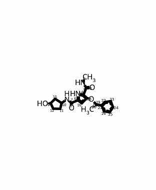 CNC(=O)c1[nH]c(C(=O)NC2CC[C@@H](O)C2)cc1O[C@@H](C)c1ccccc1